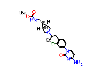 CCC(Cc1ccc(-n2ccc(N)nc2=O)cc1F)N1C[C@@H]2[C@@H](CNC(=O)OC(C)(C)C)[C@@H]2C1